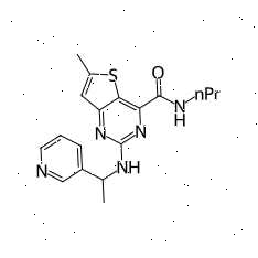 CCCNC(=O)c1nc(NC(C)c2cccnc2)nc2cc(C)sc12